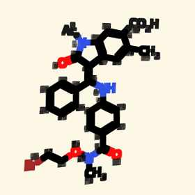 CC(=O)N1C(=O)/C(=C(/Nc2ccc(C(=O)N(C)OCCBr)cc2)c2ccccc2)c2cc(C)c(C(=O)O)cc21